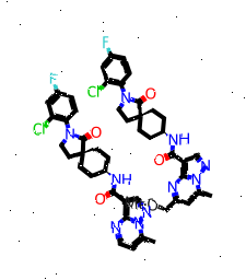 COCc1cc(C)n2ncc(C(=O)N[C@H]3CC[C@]4(CCN(c5ccc(F)cc5Cl)C4=O)CC3)c2n1.Cc1ccnc2c(C(=O)N[C@H]3CC[C@]4(CCN(c5ccc(F)cc5Cl)C4=O)CC3)cnn12